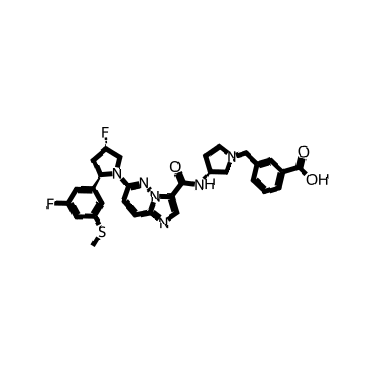 CSc1cc(F)cc([C@H]2C[C@H](F)CN2c2ccc3ncc(C(=O)N[C@H]4CCN(Cc5cccc(C(=O)O)c5)C4)n3n2)c1